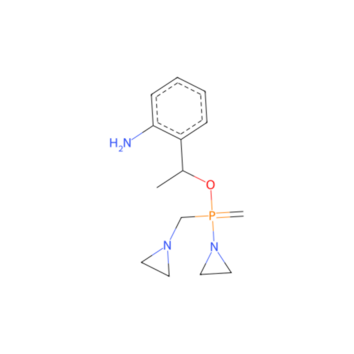 C=P(CN1CC1)(OC(C)c1ccccc1N)N1CC1